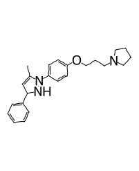 CC1=CC(c2ccccc2)NN1c1ccc(OCCCN2CCCC2)cc1